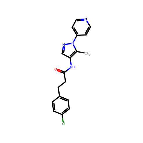 O=C(CCc1ccc(Cl)cc1)Nc1cnn(-c2ccncc2)c1C(F)(F)F